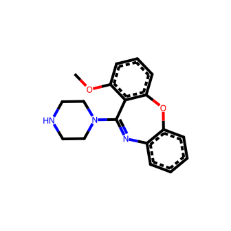 COc1cccc2c1C(N1CCNCC1)=Nc1ccccc1O2